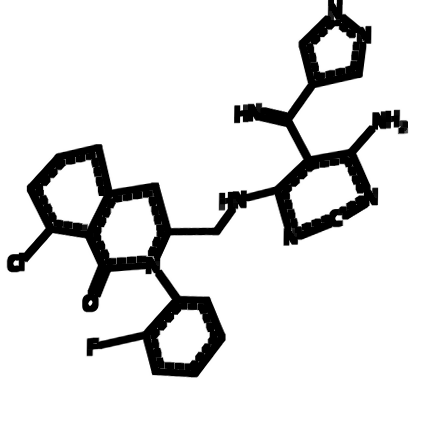 N=C(c1cn[nH]c1)c1c(N)ncnc1NCc1cc2cccc(Cl)c2c(=O)n1-c1ccccc1F